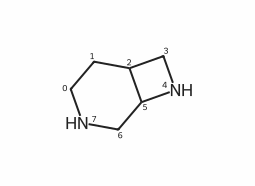 C1CC2CNC2CN1